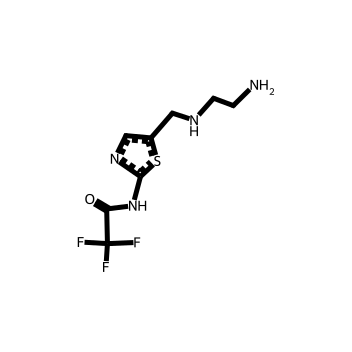 NCCNCc1cnc(NC(=O)C(F)(F)F)s1